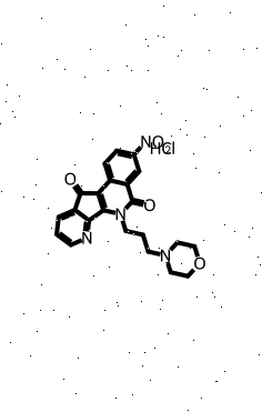 Cl.O=C1c2cccnc2-c2c1c1ccc([N+](=O)[O-])cc1c(=O)n2CCCN1CCOCC1